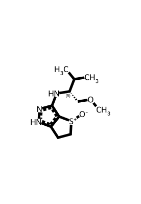 COC[C@H](Nc1n[nH]c2c1[S+]([O-])CC2)C(C)C